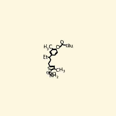 CCC(CCc1cc(C)c(S(N)(=O)=O)s1)c1ccc(OCC(=O)C(C)(C)C)c(C)c1